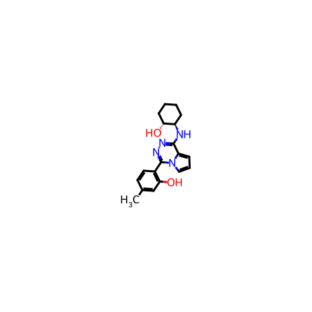 Cc1ccc(-c2nnc(N[C@@H]3CCCC[C@H]3O)c3cccn23)c(O)c1